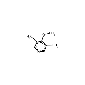 COc1c(C)cncc1C